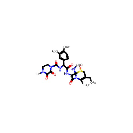 CCN1CCN(C(=O)NC(C(=O)N[C@@H]2C(=O)N3C(C(=O)O)=C(COC(C)=O)C[S+]([O-])C23NC=O)c2ccc(OC(C)=O)c(OC(C)=O)c2)C(=O)C1=O